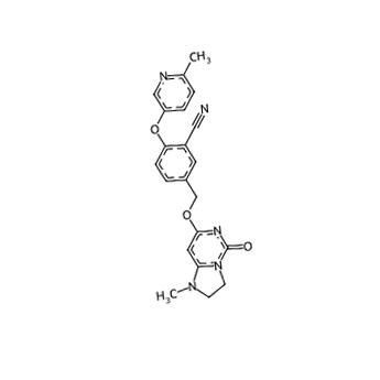 Cc1ccc(Oc2ccc(COc3cc4n(c(=O)n3)CCN4C)cc2C#N)cn1